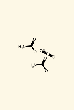 NC(=O)[O-].NC(=O)[O-].[C+2]=C=O